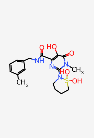 Cc1cccc(CNC(=O)c2nc(N3CCCCS3(O)O)n(C)c(=O)c2O)c1